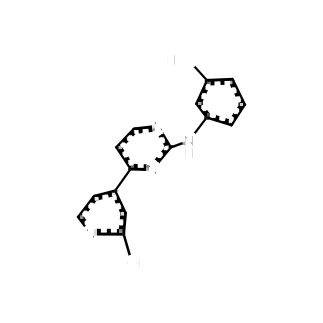 Cc1cccc(Nc2nccc(-c3ccnc(O)c3)n2)c1